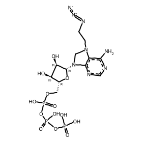 [N-]=[N+]=NCCN1CN([C@@H]2O[C@H](COP(=O)(O)OP(=O)(O)OP(=O)(O)O)[C@@H](O)[C@H]2O)c2ncnc(N)c21